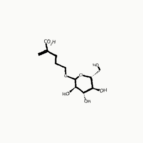 C=C(CCCOC1O[C@H](CO)[C@@H](O)[C@H](O)[C@H]1O)C(=O)O